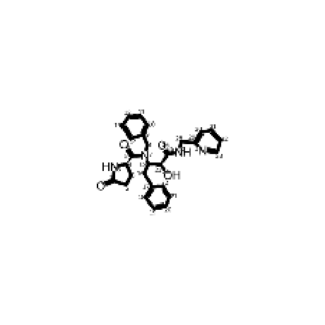 O=C1CC[C@H](C(=O)N(Cc2ccccc2)C(Cc2ccccc2)C(O)C(=O)NCc2ccccn2)N1